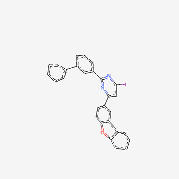 Ic1cc(-c2ccc3oc4ccccc4c3c2)nc(-c2cccc(-c3ccccc3)c2)n1